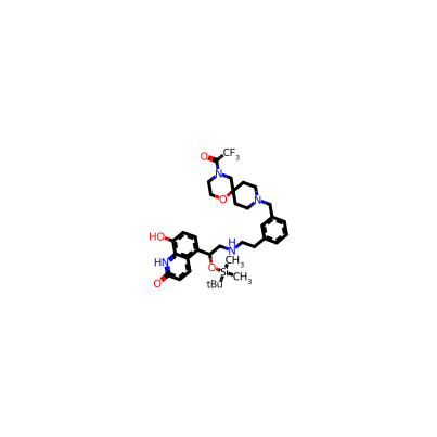 CC(C)(C)[Si](C)(C)OC(CNCCc1cccc(CN2CCC3(CC2)CN(C(=O)C(F)(F)F)CCO3)c1)c1ccc(O)c2[nH]c(=O)ccc12